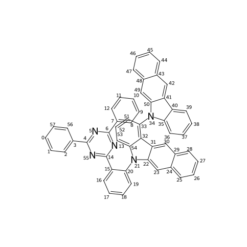 c1ccc(-c2nc(-c3ccccc3)nc(-c3ccccc3-n3c4cc5ccccc5cc4c4c(-n5c6ccccc6c6cc7ccccc7cc65)cccc43)n2)cc1